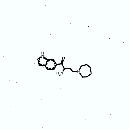 NC(CCN1CCCCCC1)C(=O)c1ccc2[c]c[nH]c2c1